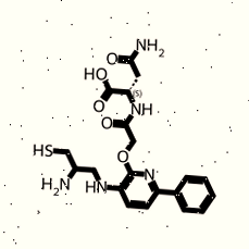 NC(=O)C[C@H](NC(=O)COc1nc(-c2ccccc2)ccc1NCC(N)CS)C(=O)O